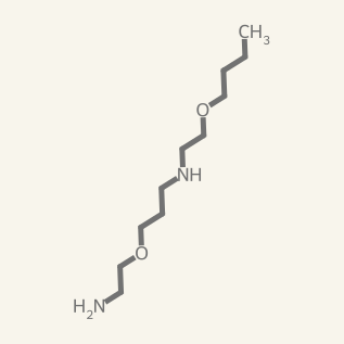 CCCCOCCNCCCOCCN